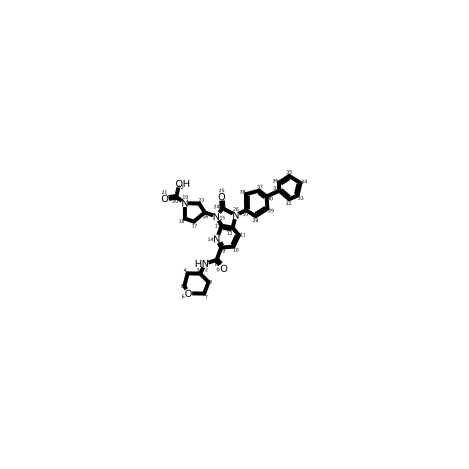 O=C(NC1CCOCC1)c1ccc2c(n1)n(C1CCN(C(=O)O)C1)c(=O)n2-c1ccc(-c2ccccc2)cc1